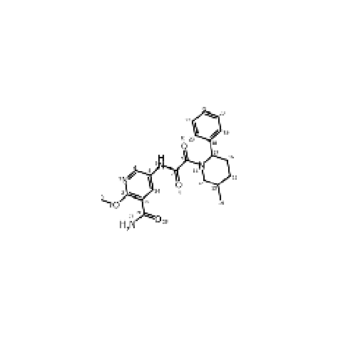 COc1ncc(NC(=O)C(=O)N2CC(C)CCC2c2ccccc2)cc1C(N)=O